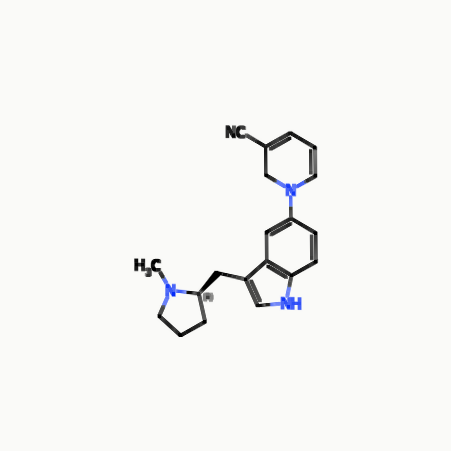 CN1CCC[C@@H]1Cc1c[nH]c2ccc(N3C=CC=C(C#N)C3)cc12